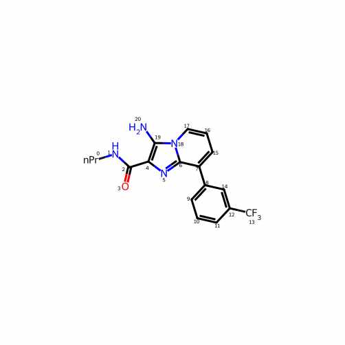 CCCNC(=O)c1nc2c(-c3cccc(C(F)(F)F)c3)cccn2c1N